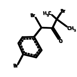 CC(C)(Br)C(=O)C(Br)c1ccc(Br)cc1